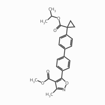 COC(=O)c1c(C)noc1-c1ccc(-c2ccc(C3(C(=O)OC(C)C)CC3)cc2)cc1